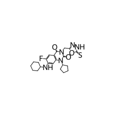 O=c1c2cc(F)c(NC3CCCCC3)cc2n(C2CCCC2)c(=O)n1Cc1n[nH]c(=S)o1